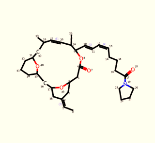 C/C=C1\CC2CC(=O)OC(/C=C/C=C\CCCC(=O)N3CCCC3)C(C)/C=C/C(C)CC3CCCC(CC(C1)O2)O3